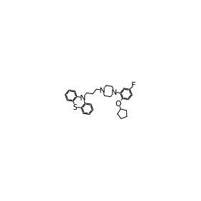 Fc1ccc(OC2CCCC2)c(N2CCN(CCCN3c4ccccc4Sc4ccccc43)CC2)c1